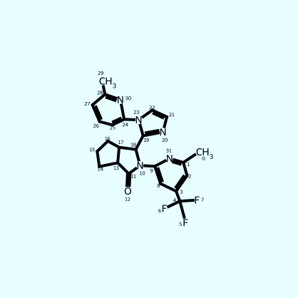 Cc1cc(C(F)(F)F)cc(N2C(=O)C3CCCC3C2c2nccn2-c2cccc(C)n2)n1